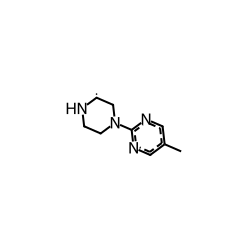 Cc1cnc(N2C[CH]NCC2)nc1